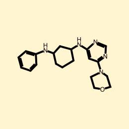 c1ccc(NC2CCCC(Nc3cc(N4CCOCC4)ncn3)C2)cc1